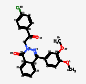 COc1ccc(-c2nn(CC(=O)c3ccc(Cl)cc3)c(=O)c3ccccc23)cc1OC